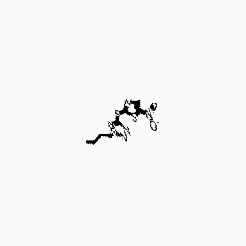 CCCCn1nnc(Sc2ncc([N+](=O)[O-])s2)n1